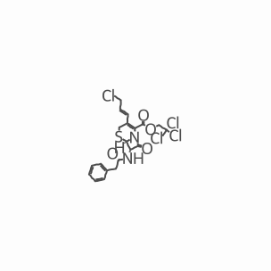 O=C(Cc1ccccc1)N[C@@H]1C(=O)N2C(C(=O)OCC(Cl)(Cl)Cl)=C(/C=C/CCl)CS[C@H]12